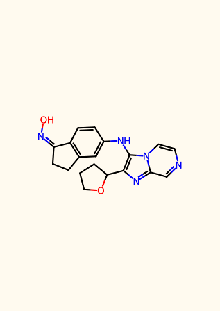 O/N=C1/CCc2cc(Nc3c(C4CCCO4)nc4cnccn34)ccc21